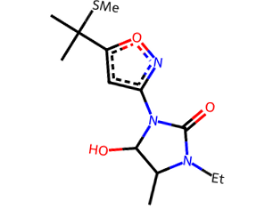 CCN1C(=O)N(c2cc(C(C)(C)SC)on2)C(O)C1C